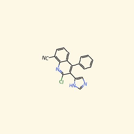 N#Cc1cccc2c(-c3ccccc3)c(-c3cnc[nH]3)c(Cl)nc12